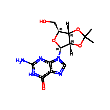 CC1(C)O[C@@H]2[C@@H](O1)[C@@H](CO)O[C@H]2n1cnc2c(=O)[nH]c(N)nc21